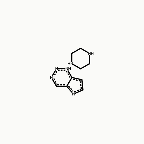 C1CNCCN1.c1cc2[nH]nncc-2n1